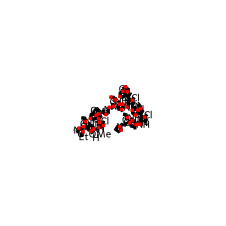 C=CC(=O)Nc1cc(Nc2ncc(Cl)c(-c3cn4c5c(cccc35)OCC4)n2)c(C)cc1N(C)CCN1CCCC1.C=CC(=O)Nc1cc(Nc2ncc(Cl)c(-c3cn4c5c(cccc35)OCC4)n2)c(C)cc1OCCN1CCCC1.C=CC(=O)Nc1cc(Nc2ncc(Cl)c(-c3cn4c5c(cccc35)OCC4)n2)c(OC)cc1O[C@@H](COCC)CN(C)C